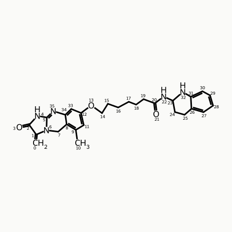 C=c1c(=O)[nH]c2n1Cc1c(C)cc(OCCCCCCC(=O)NC3CCc4ccccc4N3)cc1N=2